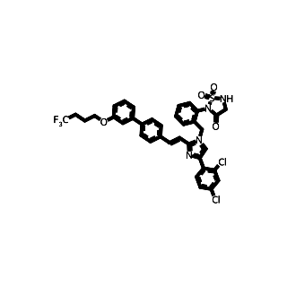 O=C1CNS(=O)(=O)N1c1ccccc1Cn1cc(-c2ccc(Cl)cc2Cl)nc1C=Cc1ccc(-c2cccc(OCCCC(F)(F)F)c2)cc1